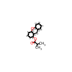 CC(C)C(=O)Oc1cccc2c1Cc1ccccc1O2